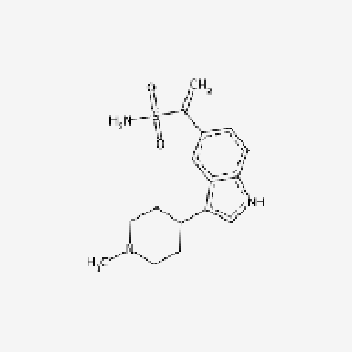 C=C(c1ccc2[nH]cc(C3CCN(C)CC3)c2c1)S(N)(=O)=O